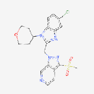 CS(=O)(=O)c1nn(Cc2nc3cc(Cl)ccc3n2C2CCOCC2)c2cnccc12